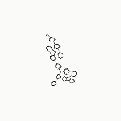 CCCc1ccc(-c2ccc3c(c2)C2(c4ccccc4-3)c3cc(-c4ccc(N(c5ccc(-c6ccccc6)cc5)c5ccc6c(c5)C5(c7ccccc7-c7ccccc75)c5ccccc5-6)cc4)ccc3C3C=CC=CC32)cc1